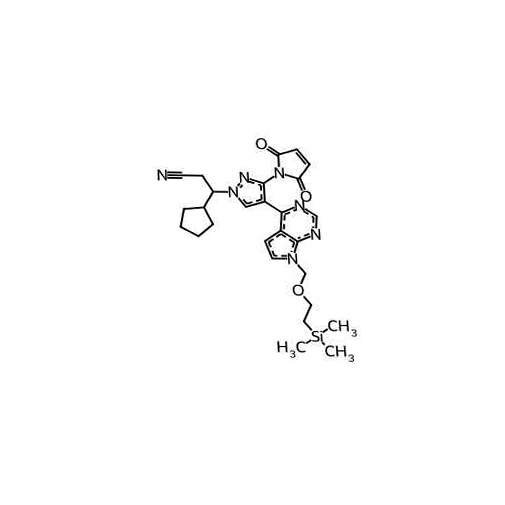 C[Si](C)(C)CCOCn1ccc2c(-c3cn(C(CC#N)C4CCCC4)nc3N3C(=O)C=CC3=O)ncnc21